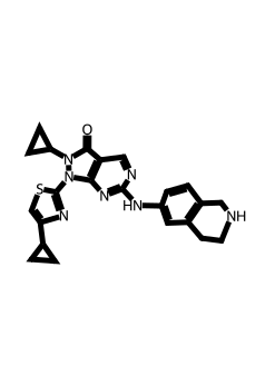 O=c1c2cnc(Nc3ccc4c(c3)CCNC4)nc2n(-c2nc(C3CC3)cs2)n1C1CC1